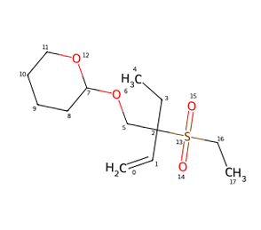 C=CC(CC)(COC1CCCCO1)S(=O)(=O)CC